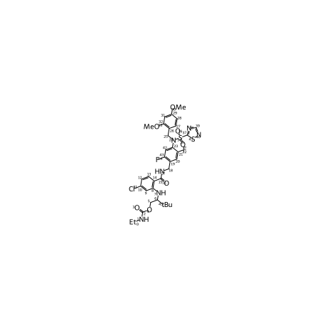 CCNC(=O)OCC(Nc1cc(Cl)ccc1C(=O)NCc1cc(F)c(N(Cc2ccc(OC)cc2OC)S(=O)(=O)c2ncns2)cc1F)C(C)(C)C